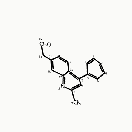 N#Cc1cc(-c2ccccc2)c2ccc(CC=O)cc2n1